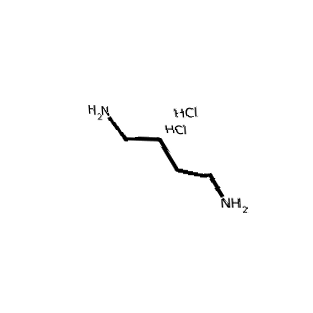 Cl.Cl.NCCCCN